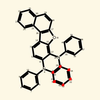 c1ccc(N(c2ccccc2)c2ccc3c(oc4ccc5ccccc5c43)c2N(c2ccccc2)c2ccccc2)cc1